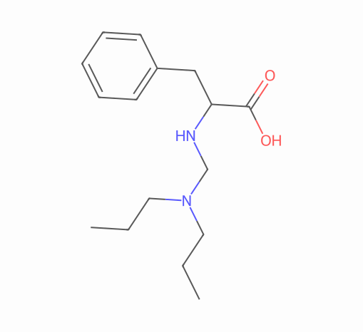 CCCN(CCC)CNC(Cc1ccccc1)C(=O)O